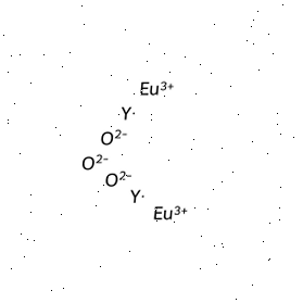 [Eu+3].[Eu+3].[O-2].[O-2].[O-2].[Y].[Y]